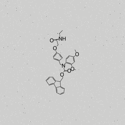 C[CH]NC(=O)COc1ccc(CN(C(=O)OCC2c3ccccc3-c3ccccc32)c2ccc(OC)cc2OC)cc1